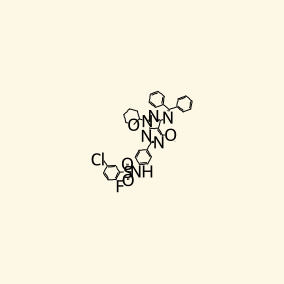 COc1nc(-c2ccc(NS(=O)(=O)c3cc(Cl)ccc3F)cc2)nc2c1c(N=C(c1ccccc1)c1ccccc1)nn2C1CCCCO1